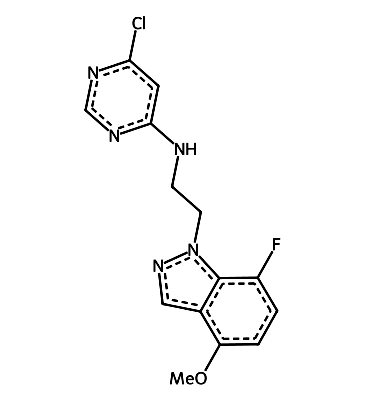 COc1ccc(F)c2c1cnn2CCNc1cc(Cl)ncn1